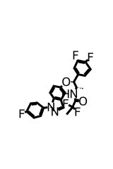 C[C@H](NC(=O)C(C)(F)F)[C@H](Oc1ccc2c(cnn2-c2ccc(F)cc2)c1)c1ccc(F)c(F)c1